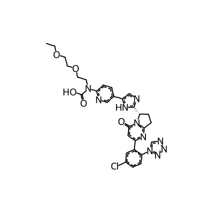 CCOCCOCCN(C(=O)O)c1ccc(-c2cnc([C@@H]3CCc4nc(-c5cc(Cl)ccc5-n5cnnn5)cc(=O)n43)[nH]2)cn1